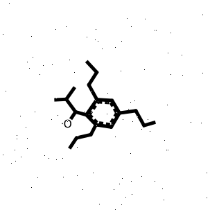 CCCc1cc(CCC)c(C([O])C(C)C)c(CCC)c1